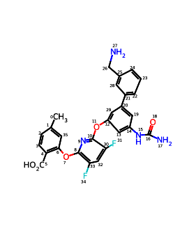 Cc1ccc(C(=O)O)c(Oc2nc(Oc3cc(NC(N)=O)cc(-c4cccc(CN)c4)c3)c(F)cc2F)c1